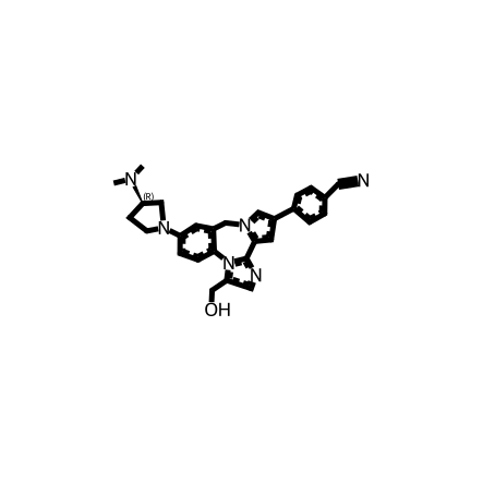 CN(C)[C@@H]1CCN(c2ccc3c(c2)Cn2cc(-c4ccc(C#N)cc4)cc2-c2ncc(CO)n2-3)C1